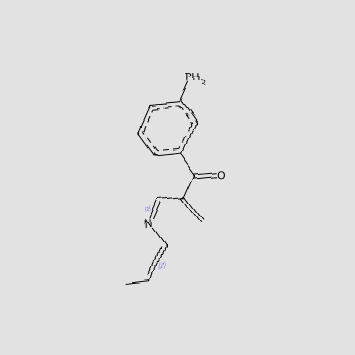 C=C(/C=N\C=C/C)C(=O)c1cccc(P)c1